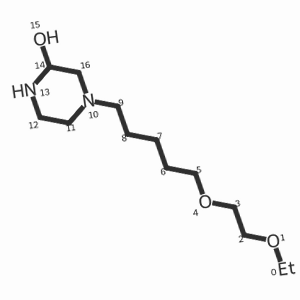 CCOCCOCCCCCN1CCNC(O)C1